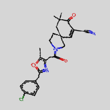 Cc1oc(-c2ccc(Cl)cc2)nc1C(=O)N1CC[C@@]2(C=C(C#N)C(=O)C(C)(C)C2)C1